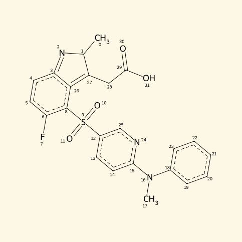 CC1N=c2ccc(F)c(S(=O)(=O)c3ccc(N(C)c4ccccc4)nc3)c2=C1CC(=O)O